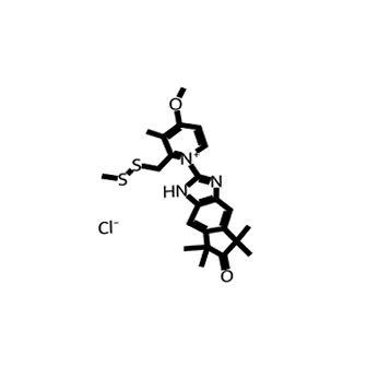 COc1cc[n+](-c2nc3cc4c(cc3[nH]2)C(C)(C)C(=O)C4(C)C)c(CSSC)c1C.[Cl-]